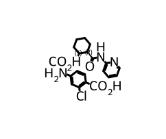 Nc1ccc(C(=O)O)c(Cl)c1.O=C(O)[C@H]1CCCC[C@H]1C(=O)Nc1ccccn1